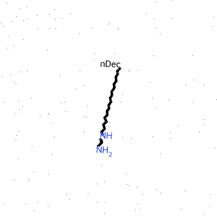 CCCCCCCCCCCCCCCCCCCCCCCCCCCCCCNC=CCN